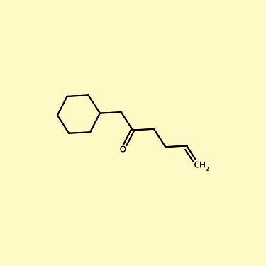 C=CCCC(=O)CC1CCCCC1